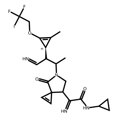 CC1=C(OCC(F)(F)I)[C@@H]1C(C=N)C(C)N1CC(C(=N)C(=O)NC2CC2)C2(C=C2)C1=O